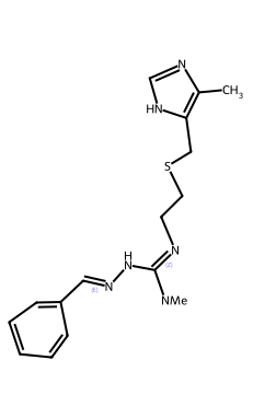 CN/C(=N/CCSCc1[nH]cnc1C)N/N=C/c1ccccc1